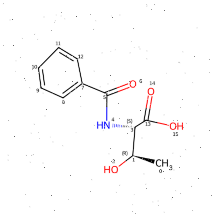 C[C@@H](O)[C@H](NC(=O)c1ccccc1)C(=O)O